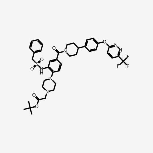 CC(C)(C)OC(=O)CN1CCN(c2ccc(C(=O)N3CCC(c4ccc(Oc5ccc(C(F)(F)F)nn5)cc4)CC3)cc2NS(=O)(=O)Cc2ccccc2)CC1